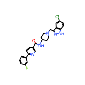 O=C(NC1CCN(Cc2n[nH]c3ccc(Cl)cc23)CC1)c1ccc(-c2cccc(F)c2)nc1